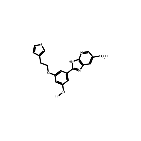 CC(C)Oc1cc(OCCc2ccsc2)cc(-c2nc3cc(C(=O)O)cnc3[nH]2)c1